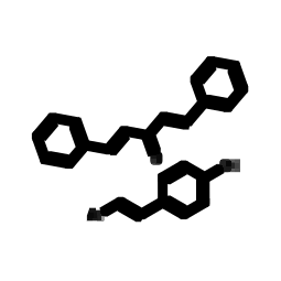 CC(=O)C=Cc1ccc(O)cc1.O=C(C=Cc1ccccc1)C=Cc1ccccc1